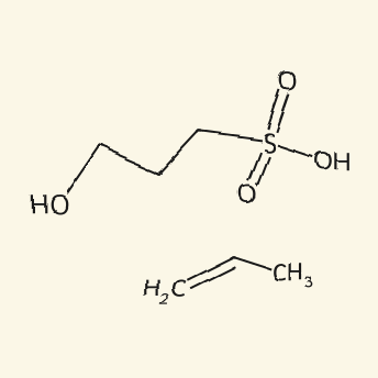 C=CC.O=S(=O)(O)CCCO